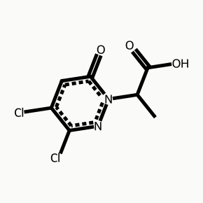 CC(C(=O)O)n1nc(Cl)c(Cl)cc1=O